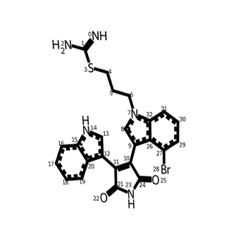 N=C(N)SCCCn1cc(C2=C(c3c[nH]c4ccccc34)C(=O)NC2=O)c2c(Br)cccc21